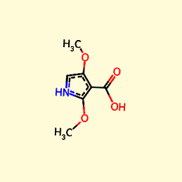 COc1c[nH]c(OC)c1C(=O)O